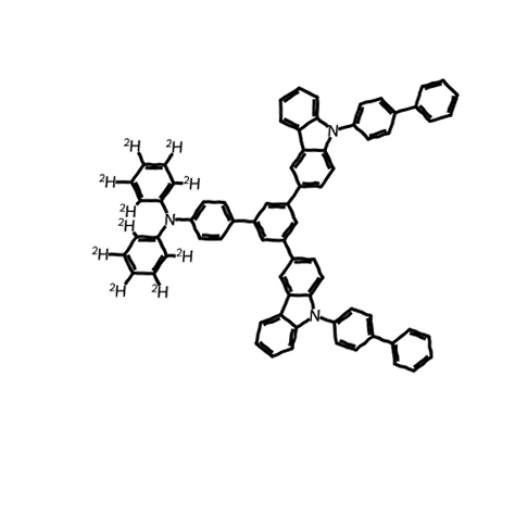 [2H]c1c([2H])c([2H])c(N(c2ccc(-c3cc(-c4ccc5c(c4)c4ccccc4n5-c4ccc(-c5ccccc5)cc4)cc(-c4ccc5c(c4)c4ccccc4n5-c4ccc(-c5ccccc5)cc4)c3)cc2)c2c([2H])c([2H])c([2H])c([2H])c2[2H])c([2H])c1[2H]